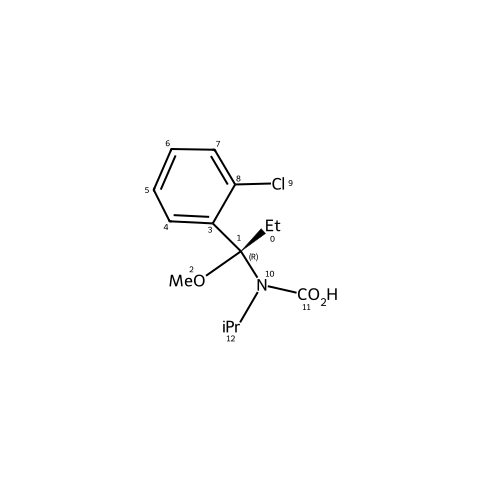 CC[C@@](OC)(c1ccccc1Cl)N(C(=O)O)C(C)C